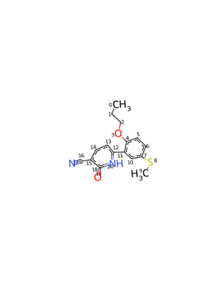 CCCOc1ccc(SC)cc1-c1ccc(C#N)c(=O)[nH]1